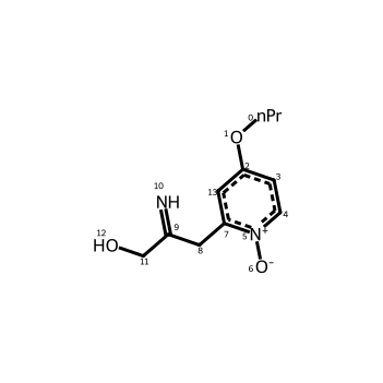 CCCOc1cc[n+]([O-])c(CC(=N)CO)c1